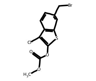 COC(=O)Oc1sc2cc(CBr)ccc2c1Cl